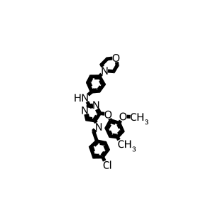 COc1cc(C)ccc1Oc1nc(Nc2ccc(N3CCOCC3)cc2)ncc1/N=C/c1ccc(Cl)cc1